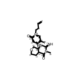 C=CCCn1cc(F)c([C@]23COCCC2C(=O)N(C)C(=N)N3)cc1=O